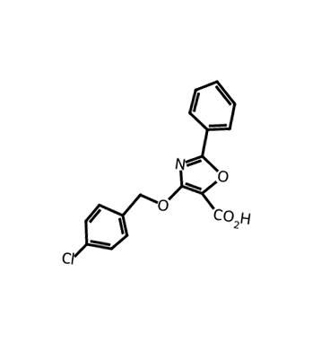 O=C(O)c1oc(-c2ccccc2)nc1OCc1ccc(Cl)cc1